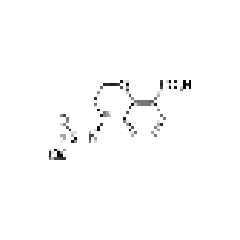 CC(C)(C)[S@+]([O-])N[C@H]1CCOc2c(C(=O)O)cccc21